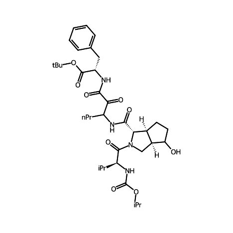 CCCC(NC(=O)[C@@H]1[C@H]2CCC(O)[C@H]2CN1C(=O)[C@@H](NC(=O)OC(C)C)C(C)C)C(=O)C(=O)N[C@@H](Cc1ccccc1)C(=O)OC(C)(C)C